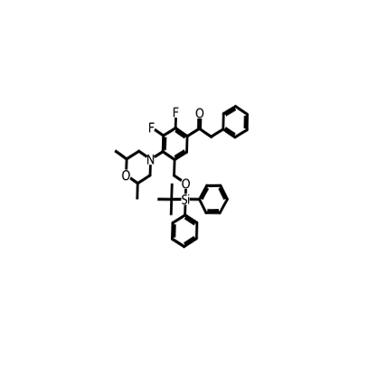 CC1CN(c2c(CO[Si](c3ccccc3)(c3ccccc3)C(C)(C)C)cc(C(=O)Cc3ccccc3)c(F)c2F)CC(C)O1